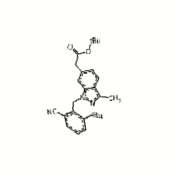 CCC(C)c1cccc(C#N)c1Cn1nc(C)c2ccc(CC(=O)OC(C)(C)C)cc21